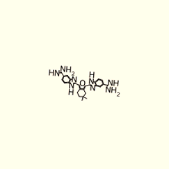 CC1(C)CCc2c(-c3nc4cc(C(=N)N)ccc4[nH]3)oc(-c3nc4cc(C(=N)N)ccc4[nH]3)c2C1